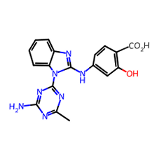 Cc1nc(N)nc(-n2c(Nc3ccc(C(=O)O)c(O)c3)nc3ccccc32)n1